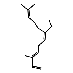 C=CC(C)=CCC=C(CC)CCC=C(C)C